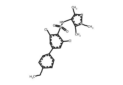 CCc1ccc(-c2cc(Cl)c(S(=O)(=O)Nc3c(C)nn(C)c3C)c(Cl)c2)cc1